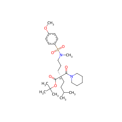 COc1ccc(S(=O)(=O)N(C)CCC[C@](CCC(C)C)(C(=O)OC(C)(C)C)C(=O)N2CCCCC2)cc1